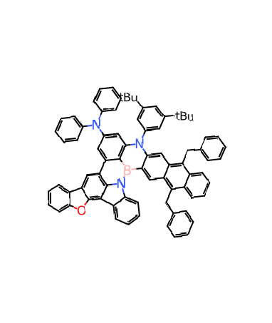 CC(C)(C)c1cc(N2c3cc4c(Cc5ccccc5)c5ccccc5c(Cc5ccccc5)c4cc3B3c4c(cc(N(c5ccccc5)c5ccccc5)cc42)-c2cc4c5ccccc5oc4c4c5ccccc5n3c24)cc(C(C)(C)C)c1